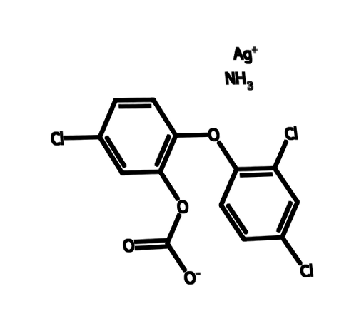 N.O=C([O-])Oc1cc(Cl)ccc1Oc1ccc(Cl)cc1Cl.[Ag+]